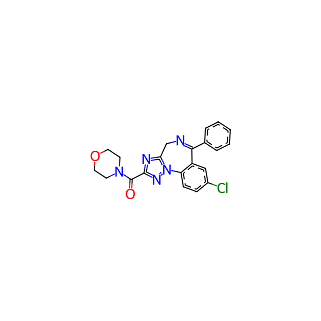 O=C(c1nc2n(n1)-c1ccc(Cl)cc1C(c1ccccc1)=NC2)N1CCOCC1